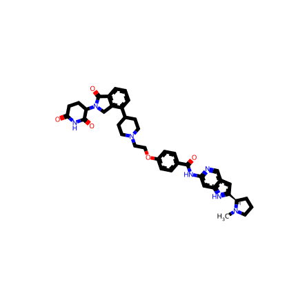 CN1CCC[C@@H]1c1cc2cnc(NC(=O)c3ccc(OCCN4CCC(c5cccc6c5CN(C5CCC(=O)NC5=O)C6=O)CC4)cc3)cc2[nH]1